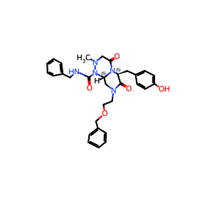 CN1CC(=O)N2[C@@H](Cc3ccc(O)cc3)C(=O)N(CCOCc3ccccc3)C[C@@H]2N1C(=O)NCc1ccccc1